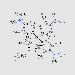 CC1=C(C)C(C)([Si](c2ccc(N(C)C)c(C)c2C)(c2ccc(N(C)C)c(C)c2C)c2ccc(N(C)C)c(C)c2C)[C]([Ti+3])=C1C.[Cl-].[Cl-].[Cl-]